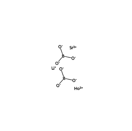 [Ho+3].[Li+].[O-]B([O-])[O-].[O-]B([O-])[O-].[Sr+2]